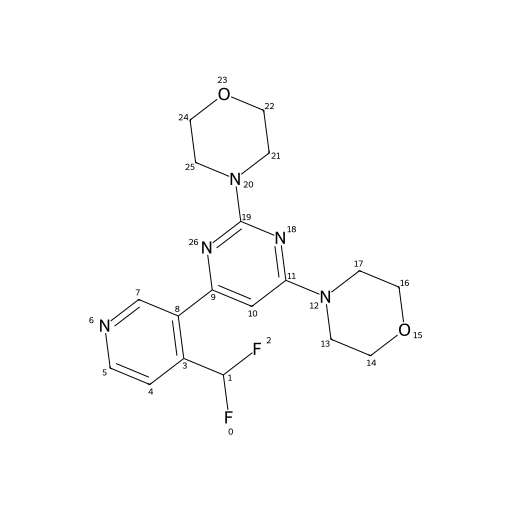 FC(F)c1ccncc1-c1cc(N2CCOCC2)nc(N2CCOCC2)n1